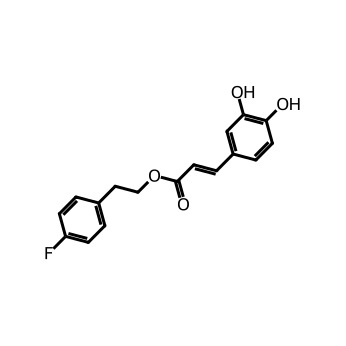 O=C(/C=C/c1ccc(O)c(O)c1)OCCc1ccc(F)cc1